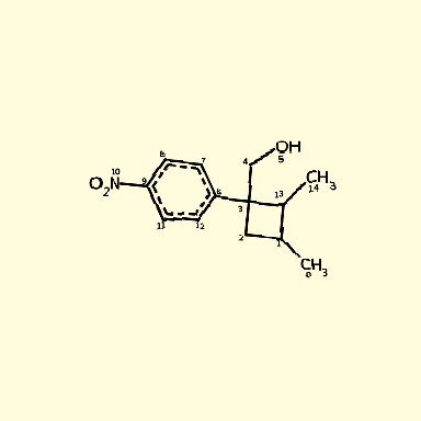 CC1CC(CO)(c2ccc([N+](=O)[O-])cc2)C1C